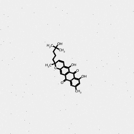 Cc1cc(O)c2c(c1)C(=O)c1cc3c(c(O)c1C2=O)C=CC(C)(CCCC(C)(C)O)O3